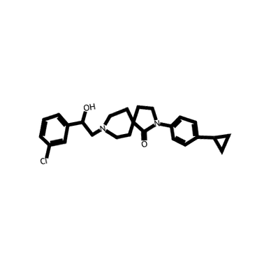 O=C1N(c2ccc(C3CC3)cc2)CCC12CCN(CC(O)c1cccc(Cl)c1)CC2